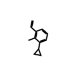 C=Cc1cccc(C2CC2)c1C